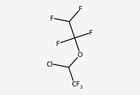 FC(F)C(F)(F)OC(Cl)C(F)(F)F